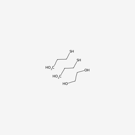 O=C(O)CCS.O=C(O)CCS.OCCO